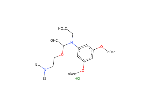 CCCCCCCCCCOc1cc(OCCCCCCCCCC)cc(N(CC(=O)O)C(C=O)OCCN(CC)CC)c1.Cl